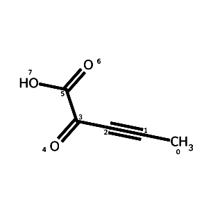 CC#CC(=O)C(=O)O